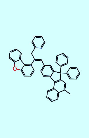 Cc1cc2c(c3ccccc13)-c1ccc(/C=C(/Cc3ccccc3)c3cccc4oc5ccccc5c34)cc1C2(c1ccccc1)c1ccccc1